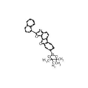 CC1(C)OB(c2ccc3c(c2)oc2c3ccc3nc(-c4cccc5ccccc45)oc32)OC1(C)C